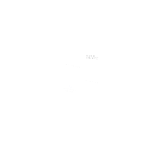 C=CC(NC)C(C)/C(C)=C/C